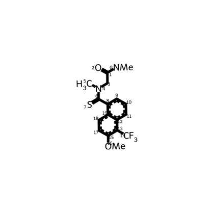 CNC(=O)CN(C)C(=S)c1cccc2c(C(F)(F)F)c(OC)ccc12